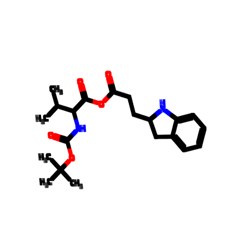 CC(C)C(NC(=O)OC(C)(C)C)C(=O)OC(=O)CCC1Cc2ccccc2N1